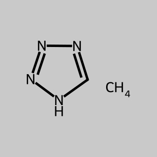 C.c1nnn[nH]1